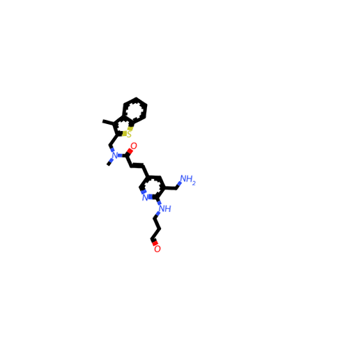 Cc1c(CN(C)C(=O)/C=C/c2cnc(NCCC=O)c(CN)c2)sc2ccccc12